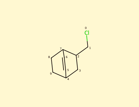 ClCC1CC2C=CC1CC2